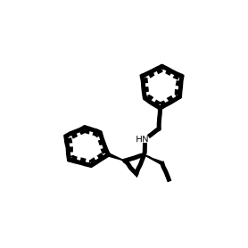 CC[C@@]1(NCc2ccccc2)C[C@H]1c1ccccc1